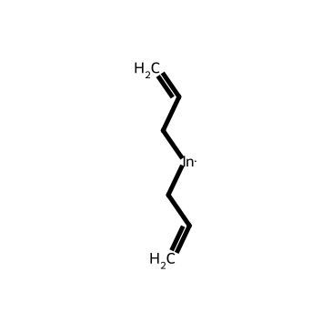 C=C[CH2][In][CH2]C=C